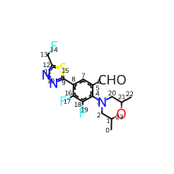 CC1CN(c2c(C=O)cc(-c3nnc(CF)s3)c(F)c2F)CC(C)O1